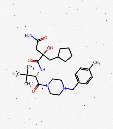 Cc1ccc(CN2CCN(C(=O)[C@@H](NC(=O)[C@](O)(CC(N)=O)CC3CCCC3)C(C)(C)C)CC2)cc1